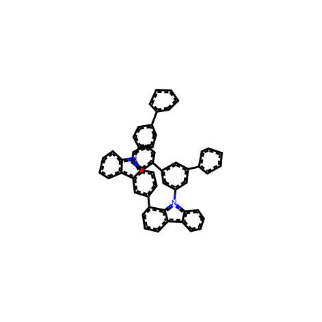 c1ccc(-c2ccc(-n3c4ccccc4c4cc(-c5cccc6c7ccccc7n(-c7cc(-c8ccccc8)cc(-c8ccccc8)c7)c56)ccc43)cc2)cc1